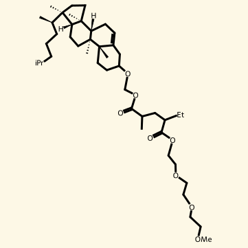 CCC(CC(C)C(=O)OCOC1CC[C@@]2(C)C(=CC[C@H]3[C@]4(C)CC[C@](C)([C@H](C)CCCC(C)C)[C@H]4CC[C@@]32C)C1)C(=O)OCCOCCOCCOC